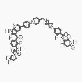 O=C1CC[C@H](NC(=O)c2ccc(N3CC4(CN(CC5CCN(c6ccc(-c7cnc8[nH]cc(C(=O)c9c(F)ccc(NS(=O)(=O)N%10CCC(F)(F)C%10)c9F)c8c7)cc6)CC5)C4)C3)cc2F)C(=O)N1